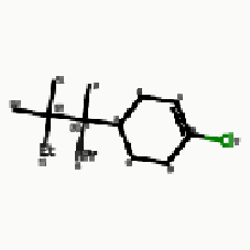 CCC[C@@](C)(C1CC=C(Cl)CC1)C(C)(C)CC